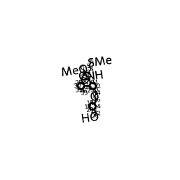 COC(=O)[C@H](CCSC)NC(=O)c1ccc(COCc2cccc(CO)c2)cc1-c1ccccc1C